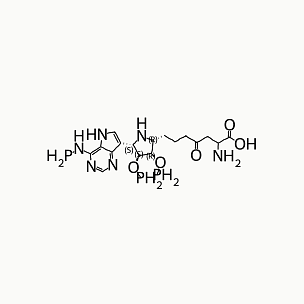 NC(CC(=O)CCC[C@H]1N[C@@H](c2c[nH]c3c(NP)ncnc23)[C@H](OP)[C@@H]1OP)C(=O)O